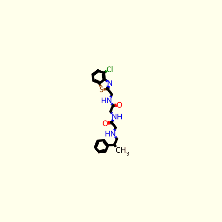 CC(CNCC(=O)NCC(=O)NCc1nc2c(Cl)cccc2s1)c1ccccc1